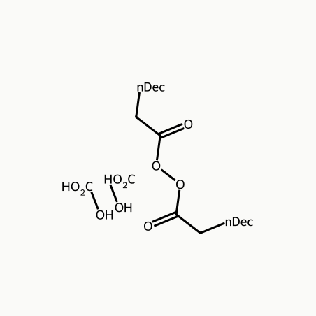 CCCCCCCCCCCC(=O)OOC(=O)CCCCCCCCCCC.O=C(O)O.O=C(O)O